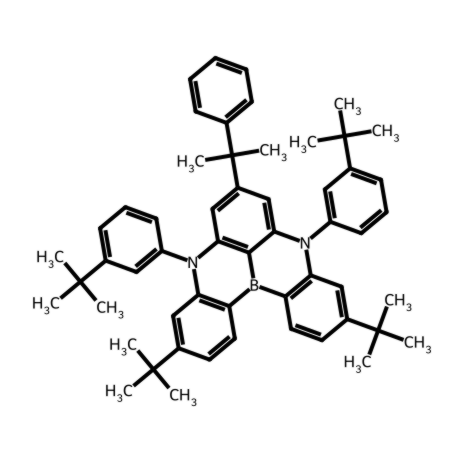 CC(C)(C)c1cccc(N2c3cc(C(C)(C)C)ccc3B3c4ccc(C(C)(C)C)cc4N(c4cccc(C(C)(C)C)c4)c4cc(C(C)(C)c5ccccc5)cc2c43)c1